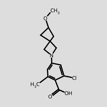 COC1CC2(C1)CN(c1cc(C)c(C(=O)O)c(Cl)c1)C2